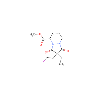 CCC1(CCI)C(=O)N2CC=CC(C(=O)OC)N2C1=O